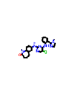 CN1C(=O)CCCc2cc(Nc3ncc(Cl)c(Nc4ccccc4-c4nccn4C)n3)ccc21